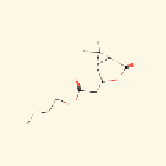 CSCCOC(=O)CC1OC(=O)C2C1C2(C)C